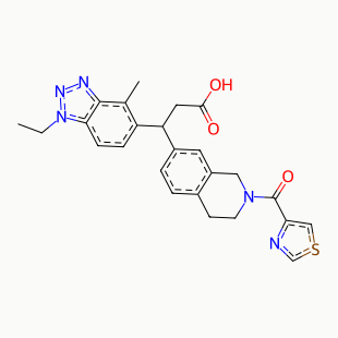 CCn1nnc2c(C)c(C(CC(=O)O)c3ccc4c(c3)CN(C(=O)c3cscn3)CC4)ccc21